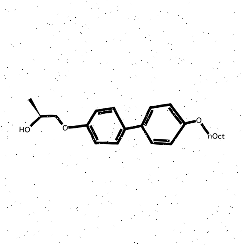 CCCCCCCCOc1ccc(-c2ccc(OC[C@H](C)O)cc2)cc1